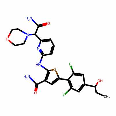 CCC(O)c1cc(F)c(-c2cc(C(N)=O)c(Nc3cccc(C(C(N)=O)N4CCOCC4)n3)s2)c(F)c1